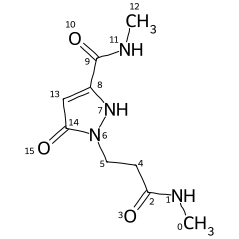 CNC(=O)CCn1[nH]c(C(=O)NC)cc1=O